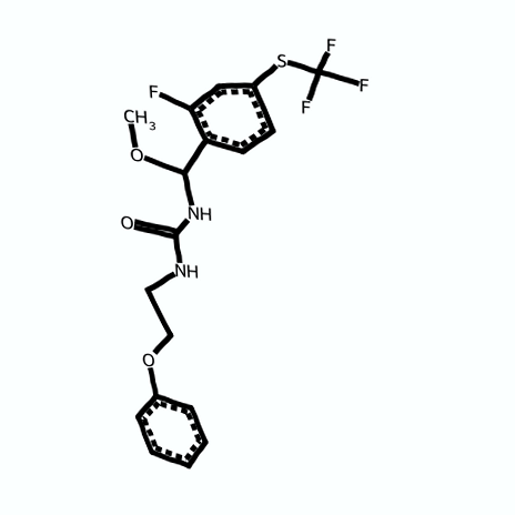 COC(NC(=O)NCCOc1ccccc1)c1ccc(SC(F)(F)F)cc1F